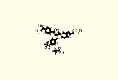 CCOC(=O)Cc1cc2c(s1)CCN(C(=O)[C@H](Cc1ccc(NS(C)(=O)=O)cc1)NC(=O)c1ccc(C(=N)N)cc1)C2.O=C(O)C(F)(F)F